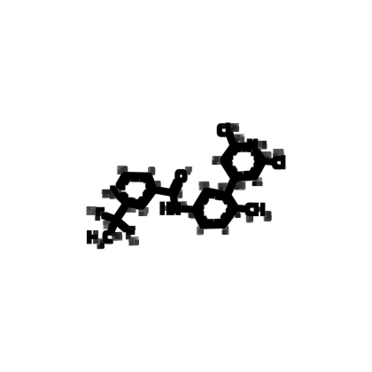 Cc1ccc(NC(=O)c2ccnc(C(C)(F)F)c2)cc1-c1cc(Cl)nc(Cl)c1